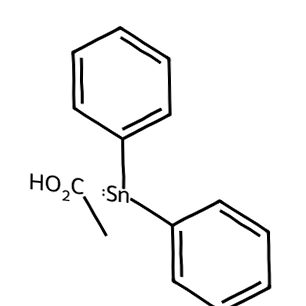 CC(=O)O.c1cc[c]([Sn][c]2ccccc2)cc1